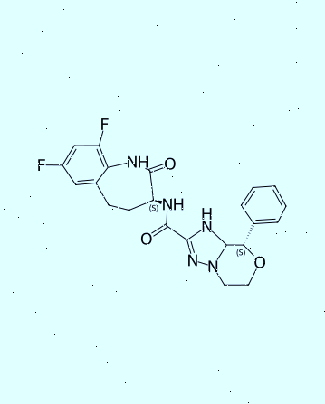 O=C(N[C@H]1CCc2cc(F)cc(F)c2NC1=O)C1=NN2CCO[C@@H](c3ccccc3)C2N1